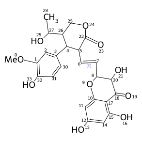 COc1cc(C2C(/C=C/C3Oc4cc(O)cc(O)c4C(=O)C3O)C(=O)OCC2C(C)O)ccc1O